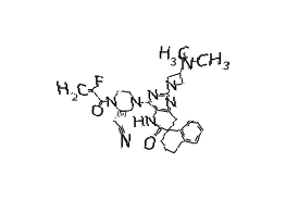 C=C(F)C(=O)N1CCN(c2nc(N3CC(N(C)C)C3)nc3c2NC(=O)C2(CCCc4ccccc42)C3)C[C@@H]1CC#N